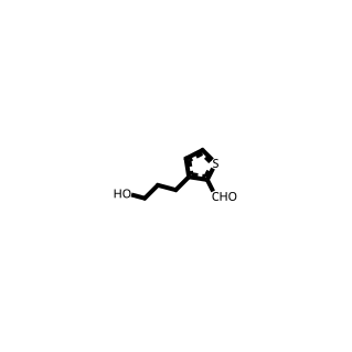 O=Cc1sccc1CCCO